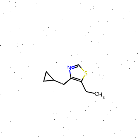 CCc1scnc1CC1CC1